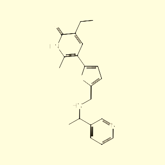 CCc1cc(-c2ccc(CNC(C)c3cccnc3)s2)c(C)[nH]c1=O